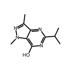 Cc1nn(C)c2c(O)nc(C(C)C)nc12